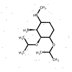 B[C@H]1C(BC)CCC(OC(C)C)[C@H]1OC(C)C